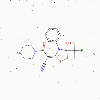 N#C/C(C(=O)N1CCNCC1)=C1\SCC(O)(C(F)(F)F)N1c1ccccc1